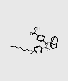 CCCCCCOc1ccc(C(=O)N(c2ccc(C(=O)O)cc2)C23CC4CC(CC(C4)C2)C3)cc1